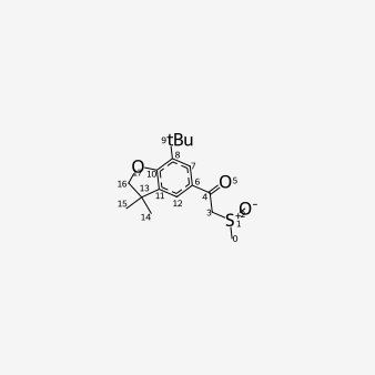 C[S+]([O-])CC(=O)c1cc(C(C)(C)C)c2c(c1)C(C)(C)CO2